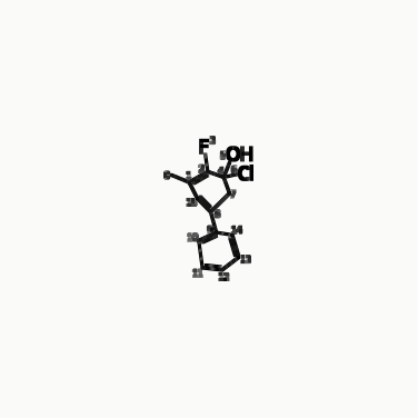 CC1=C(F)C(O)(Cl)CC(c2ccccc2)=C1